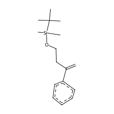 C=C(CCO[Si](C)(C)C(C)(C)C)c1ccccc1